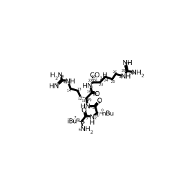 CCCC[C@H](NC(=O)[C@@H](N)[C@@H](C)CC)C(=O)N[C@H](CCCNC(=N)N)C(=O)N[C@@H](CCCCNC(=N)N)C(=O)O